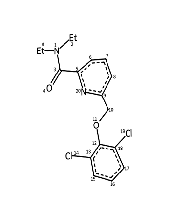 CCN(CC)C(=O)c1cccc(COc2c(Cl)cccc2Cl)n1